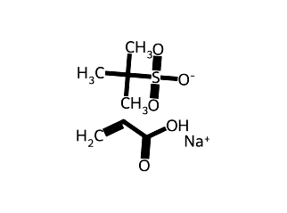 C=CC(=O)O.CC(C)(C)S(=O)(=O)[O-].[Na+]